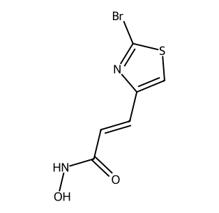 O=C(/C=C/c1csc(Br)n1)NO